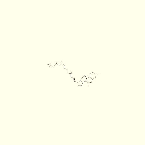 C[C@H](CCC(=O)NCCCN(C)CC(O)CS(=O)(=O)O)[C@H]1CC[C@H]2[C@@H]3[C@H](O)C[C@@H]4C[C@H](O)CC[C@]4(C)[C@H]3C[C@H](O)[C@]12C